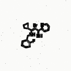 N=C(/C(Br)=C(\NCc1ccccc1F)C1CCC1)c1ccccn1